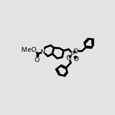 COC(=O)N1CCC2CC(CP(=O)(OCc3ccccc3)OCc3ccccc3)CCC2C1